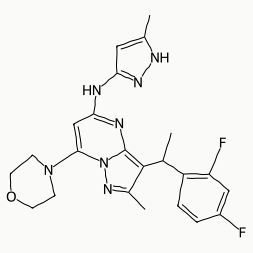 Cc1cc(Nc2cc(N3CCOCC3)n3nc(C)c(C(C)c4ccc(F)cc4F)c3n2)n[nH]1